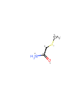 [CH2]SCC(N)=O